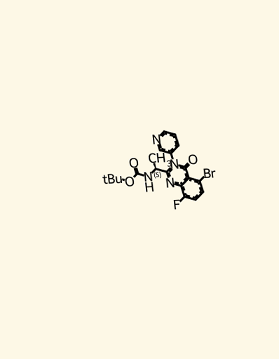 C[C@H](NC(=O)OC(C)(C)C)c1nc2c(F)ccc(Br)c2c(=O)n1-c1cccnc1